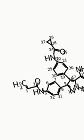 C=CC(=O)Nc1ccc(-c2nn3ncnc(N)c3c2-c2ccc(NC(=O)C3CC3)cc2)cc1